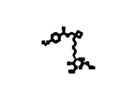 CC(C)(C)OC(=O)N[C@@H](CCSCCC1(COC(=O)c2ccc([N+](=O)[O-])cc2)CCC1)C(=O)OC(C)(C)C